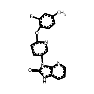 Cc1ccc(Oc2ccc(-n3c(=O)[nH]c4cccnc43)cn2)c(F)c1